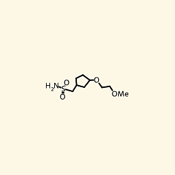 COCCOC1CCC(CS(N)(=O)=O)C1